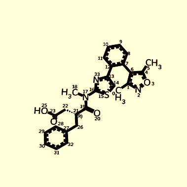 Cc1noc(C)c1-c1ccccc1-c1csc(N(C)C(=O)[C@@H](CC(=O)O)Cc2ccccc2)n1